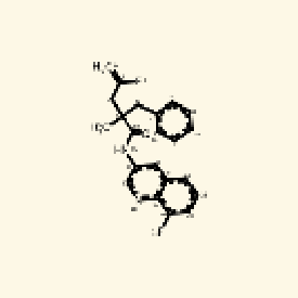 C=C(F)CC(C)(Cc1ccccc1)C(=O)Nc1cnc2c(F)cccc2c1